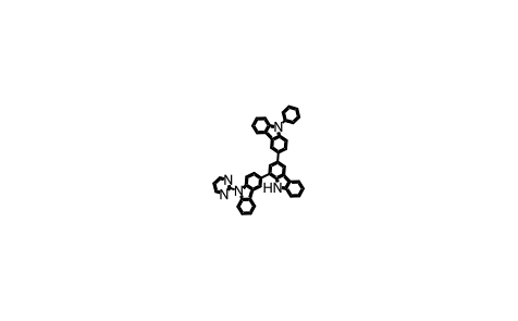 c1ccc(-n2c3ccccc3c3cc(-c4cc(-c5ccc6c(c5)c5ccccc5n6-c5ncccn5)c5[nH]c6ccccc6c5c4)ccc32)cc1